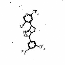 FC(F)(F)c1cc(C2ON=C3C(c4cc(C(F)(F)F)ncc4Cl)CCC32)cc(C(F)(F)F)c1